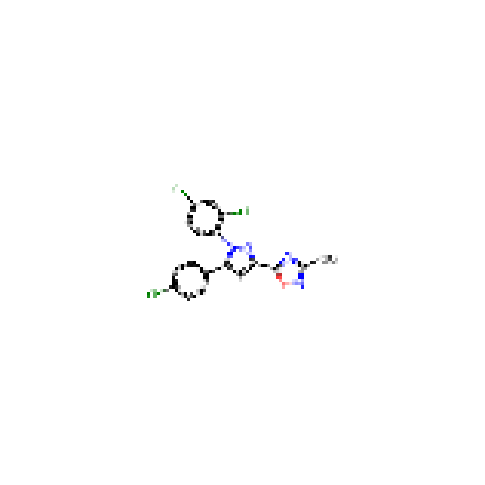 Cc1c(-c2nc(C(C)(C)C)no2)nn(-c2ccc(Cl)cc2Cl)c1-c1ccc(Cl)cc1